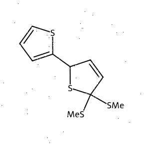 CSC1(SC)C=CC(c2cccs2)S1